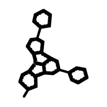 Cc1ccc2c(c1)c1cc(-c3ccccc3)cc3c4cc(-c5ccccc5)ccc4n2c13